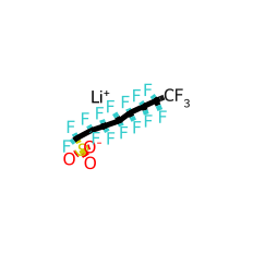 O=S(=O)([O-])C(F)(F)C(F)(F)C(F)(F)C(F)(F)C(F)(F)C(F)(F)C(F)(F)C(F)(F)F.[Li+]